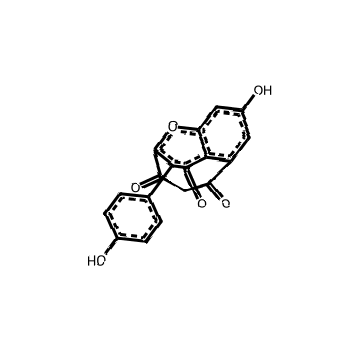 O=C1CC(=O)c2cc(O)cc3oc1c(-c1ccc(O)cc1)c(=O)c23